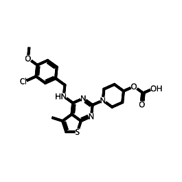 COc1ccc(CNc2nc(N3CCC(OC(=O)O)CC3)nc3scc(C)c23)cc1Cl